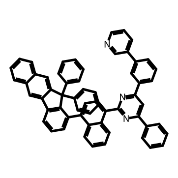 c1ccc(-c2cc(-c3cccc(-c4cccnc4)c3)nc(-c3ccc(-c4cccc5c4C(c4ccccc4)(c4ccccc4)c4cc6ccccc6cc4-5)c4ccccc34)n2)cc1